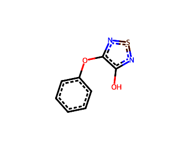 Oc1nsnc1Oc1ccccc1